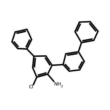 Nc1c(Cl)cc(-c2ccccc2)cc1-c1cccc(-c2ccccc2)c1